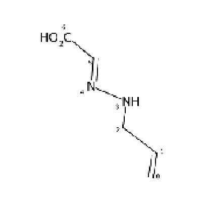 C=CCN/N=C/C(=O)O